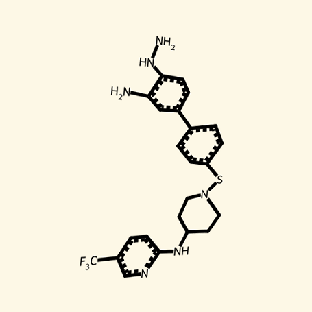 NNc1ccc(-c2ccc(SN3CCC(Nc4ccc(C(F)(F)F)cn4)CC3)cc2)cc1N